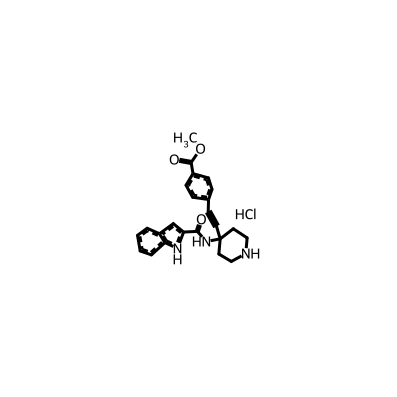 COC(=O)c1ccc(C#CC2(NC(=O)c3cc4ccccc4[nH]3)CCNCC2)cc1.Cl